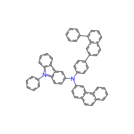 c1ccc(-c2cccc3ccc(-c4ccc(N(c5ccc6ccc7ccccc7c6c5)c5ccc6c(c5)c5ccccc5n6-c5ccccc5)cc4)cc23)cc1